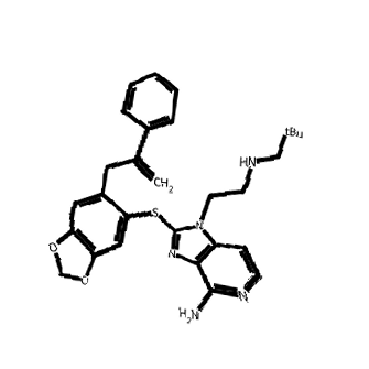 C=C(Cc1cc2c(cc1Sc1nc3c(N)nccc3n1CCNCC(C)(C)C)OCO2)c1ccccc1